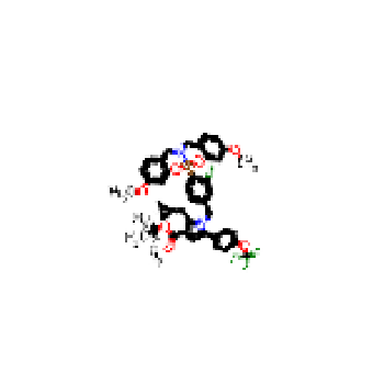 COc1ccc(CN(Cc2ccc(OC)cc2)S(=O)(=O)c2ccc(Cn3c(-c4ccc(OC(F)(F)F)cc4)cc(C(=O)OC(C)(C)C)c3CC3CC3)cc2F)cc1